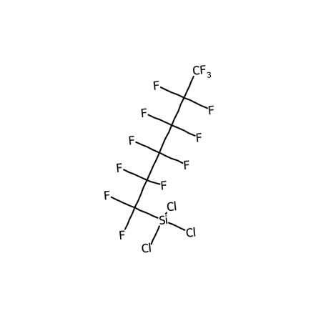 FC(F)(F)C(F)(F)C(F)(F)C(F)(F)C(F)(F)C(F)(F)[Si](Cl)(Cl)Cl